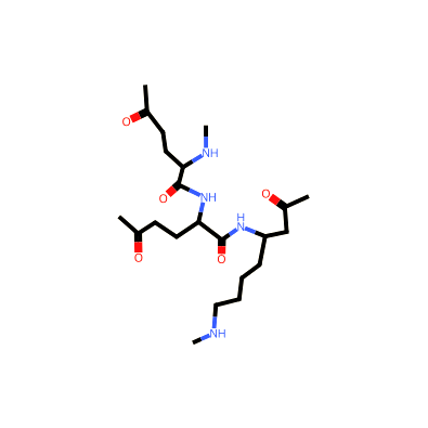 CNCCCCC(CC(C)=O)NC(=O)C(CCC(C)=O)NC(=O)C(CCC(C)=O)NC